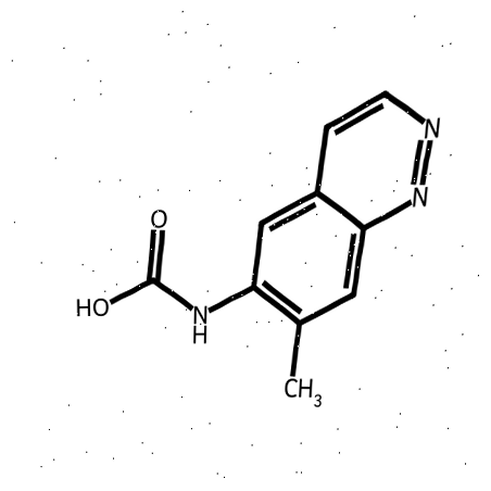 Cc1cc2nnccc2cc1NC(=O)O